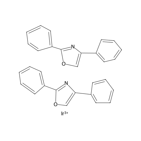 [Ir+3].c1ccc(-c2coc(-c3ccccc3)n2)cc1.c1ccc(-c2coc(-c3ccccc3)n2)cc1